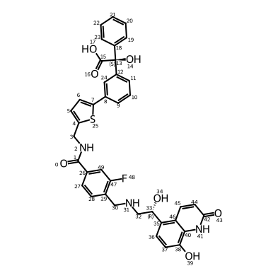 O=C(NCc1ccc(-c2cccc([C@](O)(C(=O)O)c3ccccc3)c2)s1)c1ccc(CNC[C@H](O)c2ccc(O)c3[nH]c(=O)ccc23)c(F)c1